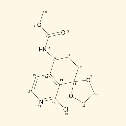 COC(=O)NC1CCC2(OCCO2)c2c1ccnc2Cl